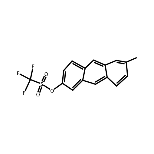 Cc1ccc2cc3cc(OS(=O)(=O)C(F)(F)F)ccc3cc2c1